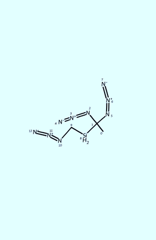 CC(N=[N+]=[N-])(N=[N+]=[N-])[SiH2]CN=[N+]=[N-]